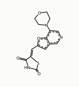 O=C1NC(=O)/C(=C/c2cc3cncc(N4CCOCC4)c3o2)S1